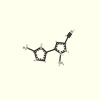 Cn1nc(C#N)cc1-c1cnc(N)s1